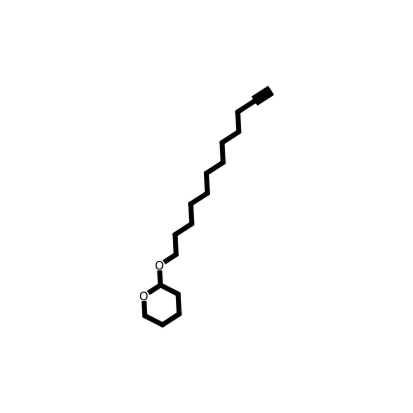 C#CCCCCCCCCCCOC1CCCCO1